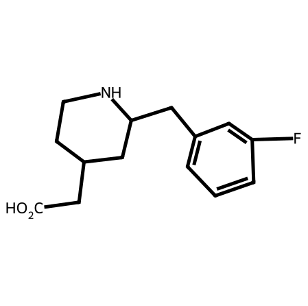 O=C(O)CC1CCNC(Cc2cccc(F)c2)C1